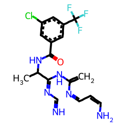 C=C(/N=C\C=C/N)N/C(=N\C=N)C(C)NC(=O)c1cc(Cl)cc(C(F)(F)F)c1